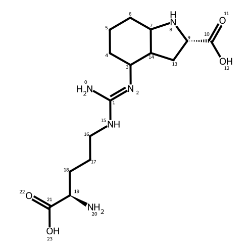 N/C(=N\C1CCCC2N[C@H](C(=O)O)CC12)NCCC[C@@H](N)C(=O)O